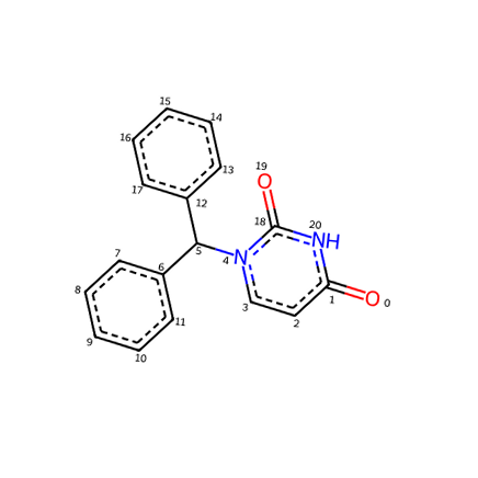 O=c1ccn(C(c2ccccc2)c2ccccc2)c(=O)[nH]1